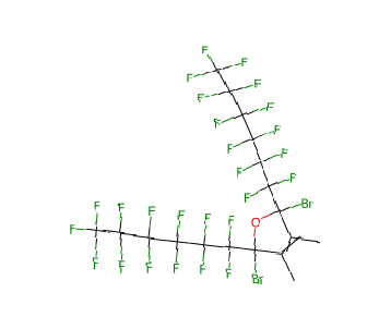 CC(C)C(Br)(OC(Br)(C(C)C)C(F)(F)C(F)(F)C(F)(F)C(F)(F)C(F)(F)C(F)(F)F)C(F)(F)C(F)(F)C(F)(F)C(F)(F)C(F)(F)C(F)(F)F